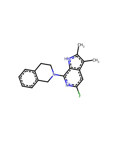 Cc1[nH]c2c(N3CCc4ccccc4C3)nc(F)cc2c1C